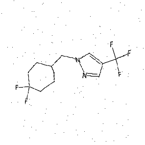 FC1(F)CCC(Cn2cc(C(F)(F)F)cn2)CC1